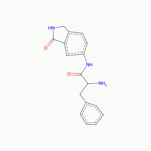 NC(Cc1ccccc1)C(=O)Nc1ccc2c(c1)C(=O)NC2